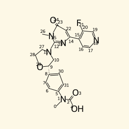 CN(C(=O)O)c1ccc([C@H]2CN(c3nc(-c4ccncc4F)cc(=O)n3C)CCO2)cc1